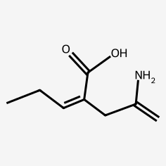 C=C(N)C/C(=C/CC)C(=O)O